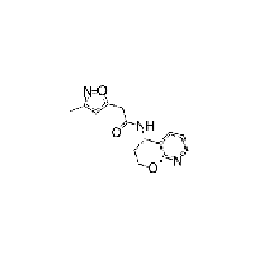 Cc1cc(CC(=O)NC2CCOc3ncccc32)on1